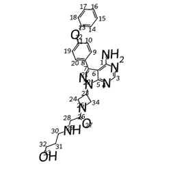 Nc1ncnc2c1c(-c1ccc(Oc3ccccc3)cc1)nn2C1CN(C(=O)CNCCCO)C1